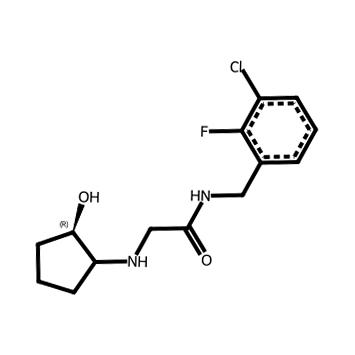 O=C(CNC1CCC[C@H]1O)NCc1cccc(Cl)c1F